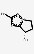 O[C@H]1CCn2nc(Br)nc21